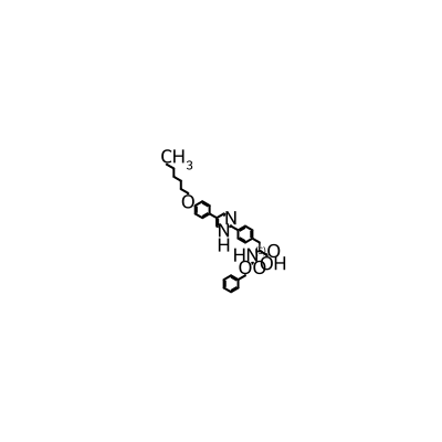 CCCCCCCOc1ccc(C2=CNC(c3ccc(C[C@H](NC(=O)OCc4ccccc4)C(=O)O)cc3)N=C2)cc1